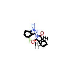 O=C1[C@@H]2[C@H](C(=O)N1c1n[nH]c3cccc(F)c13)[C@@H]1C=C[C@H]2C1